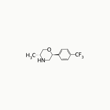 C[C@@H]1CO[C@@H](c2ccc(C(F)(F)F)cc2)CN1